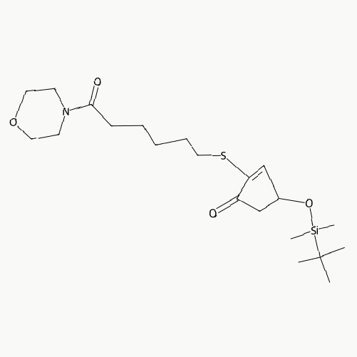 CC(C)(C)[Si](C)(C)OC1C=C(SCCCCCC(=O)N2CCOCC2)C(=O)C1